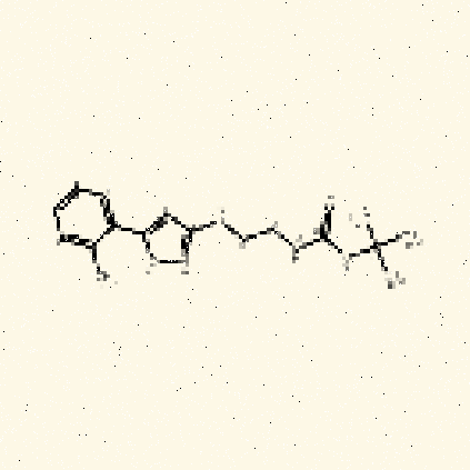 Cc1ccccc1-c1cc(OCCNC(=O)OC(C)(C)C)no1